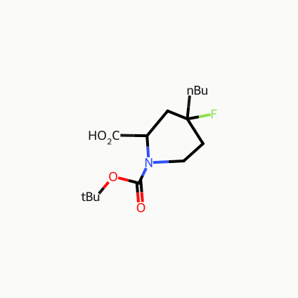 CCCCC1(F)CCN(C(=O)OC(C)(C)C)C(C(=O)O)C1